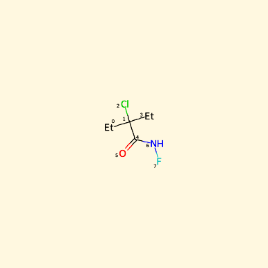 CCC(Cl)(CC)C(=O)NF